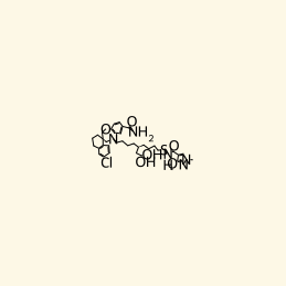 COc1nn(C)cc1C(=O)NSCCCC[C@H](CCCCN1C[C@@]2(CCCc3cc(Cl)ccc32)COc2ccc(C(N)=O)cc21)CC(O)O